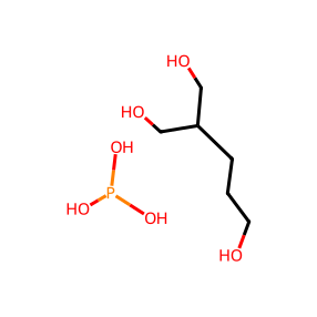 OCCCC(CO)CO.OP(O)O